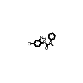 CN(C(=O)n1nnc2cc(Cl)ccc21)c1ccccc1